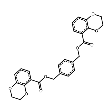 O=C(OCc1ccc(COC(=O)c2cccc3c2OCCO3)cc1)c1cccc2c1OCCO2